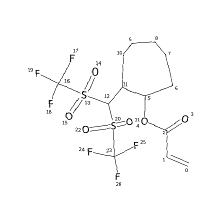 C=CC(=O)OC1CCCCCC1C(S(=O)(=O)C(F)(F)F)S(=O)(=O)C(F)(F)F